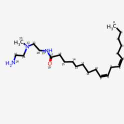 CCCCC/C=C\C/C=C\CCCCCCCC(=O)NCCN(C)CCN